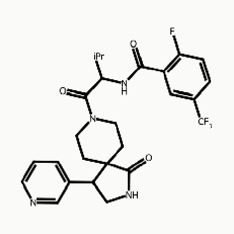 CC(C)C(NC(=O)c1cc(C(F)(F)F)ccc1F)C(=O)N1CCC2(CC1)C(=O)NCC2c1cccnc1